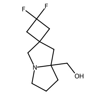 OCC12CCCN1CC1(CC(F)(F)C1)C2